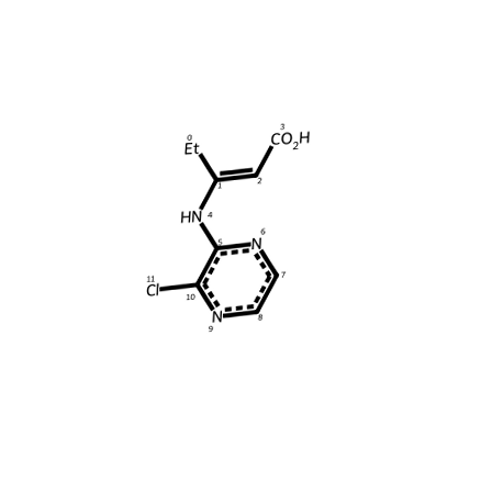 CCC(=CC(=O)O)Nc1nccnc1Cl